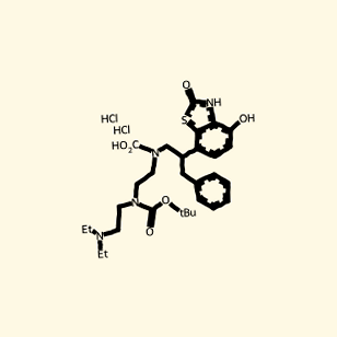 CCN(CC)CCN(CCN(CC(Cc1ccccc1)c1ccc(O)c2[nH]c(=O)sc12)C(=O)O)C(=O)OC(C)(C)C.Cl.Cl